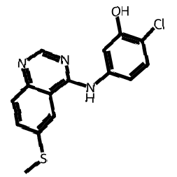 CSc1ccc2ncnc(Nc3ccc(Cl)c(O)c3)c2c1